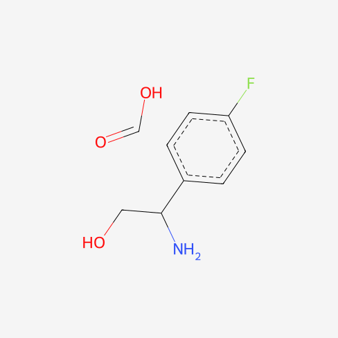 NC(CO)c1ccc(F)cc1.O=CO